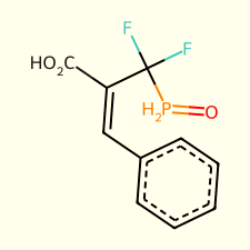 O=[PH2]C(F)(F)C(=Cc1ccccc1)C(=O)O